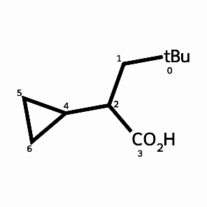 CC(C)(C)CC(C(=O)O)C1CC1